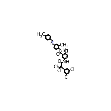 Cc1ccc(/C=N/c2ccc(NC(=O)c3cc(NC(=O)C4C(c5cc(Cl)cc(Cl)c5)C4(Cl)Cl)ccc3Cl)c(C)c2)cc1